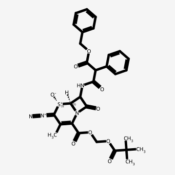 CC1=C(C(=O)OCOC(=O)C(C)(C)C)N2C(=O)C(NC(=O)C(C(=O)OCc3ccccc3)c3ccccc3)[C@@H]2[S@@+]([O-])C1=[N+]=[N-]